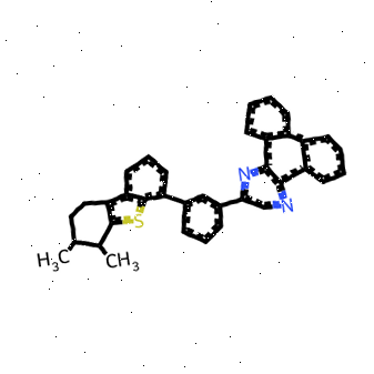 CC1CCc2c(sc3c(-c4cccc(-c5cnc6c7ccccc7c7ccccc7c6n5)c4)cccc23)C1C